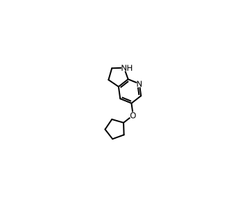 c1nc2c(cc1OC1CCCC1)CCN2